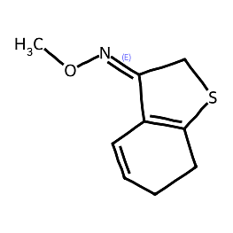 CO/N=C1/CSC2=C1C=CCC2